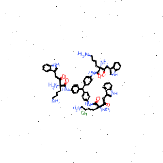 Cl.NCCCC[C@@](N)(C(=O)Cc1c[nH]c2ccccc12)C(=O)Nc1ccc(C(c2ccc(NC(=O)[C@@](N)(CCCCN)C(=O)Cc3c[nH]c4ccccc34)cc2)c2ccc(NC(=O)[C@@](N)(CCCCN)C(=O)Cc3c[nH]c4ccccc34)cc2)cc1